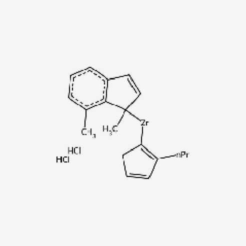 CCCC1=[C]([Zr][C]2(C)C=Cc3cccc(C)c32)CC=C1.Cl.Cl